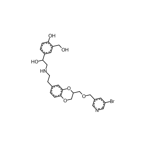 OCc1cc(C(O)CNCCc2ccc3c(c2)OC(COCc2cncc(Br)c2)CO3)ccc1O